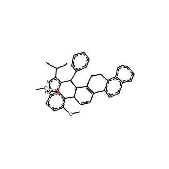 COc1ccc(OC)c(C2C=CC3=C(CCc4c3ccc3ccccc43)C2C(c2ccccc2)c2c[nH]nc2C(C)C)c1